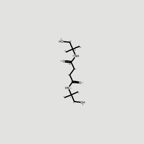 CC(C)(CO)NC(=O)CCC(=O)NC(C)(C)CO